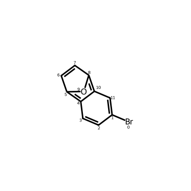 Brc1ccc2c3ccc(o3)c2c1